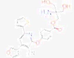 N#Cc1c(-c2ccoc2)cc(-c2cccs2)nc1Oc1ccc(C(=O)OCC(N)(CO)CO)cc1